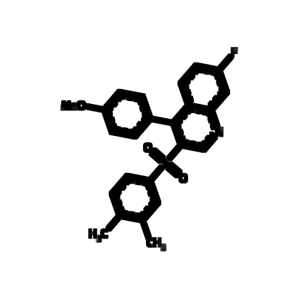 COc1ccc(-c2c(S(=O)(=O)c3ccc(C)c(C)c3)cnc3cc(F)ccc23)cc1